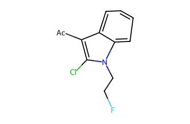 CC(=O)c1c(Cl)n(CCF)c2ccccc12